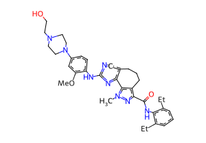 CCc1cccc(CC)c1NC(=O)c1nn(C)c2c1CCCc1cnc(Nc3ccc(N4CCN(CCO)CC4)cc3OC)nc1-2